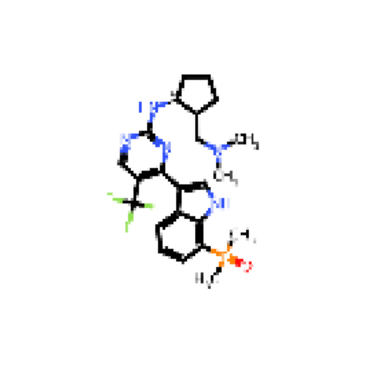 CN(C)CC1CCC[C@@H]1Nc1ncc(C(F)(F)F)c(-c2c[nH]c3c(P(C)(C)=O)cccc23)n1